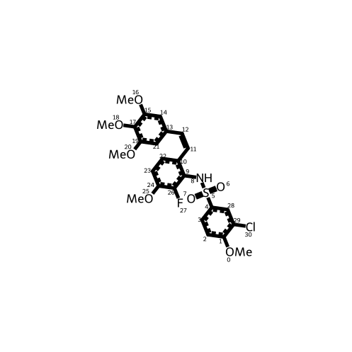 COc1ccc(S(=O)(=O)Nc2c(/C=C\c3cc(OC)c(OC)c(OC)c3)ccc(OC)c2F)cc1Cl